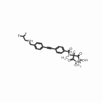 CNC(=O)C(C)(C(=O)NO)N(C)C(=O)c1ccc(C#Cc2ccc(CNCC(F)F)cc2)cc1